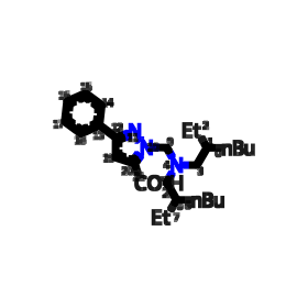 CCCCC(CC)CN(CC(CC)CCCC)Cn1nc(-c2ccccc2)cc1C(=O)O